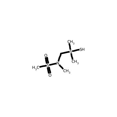 CN(CS(C)(C)S)S(C)(=O)=O